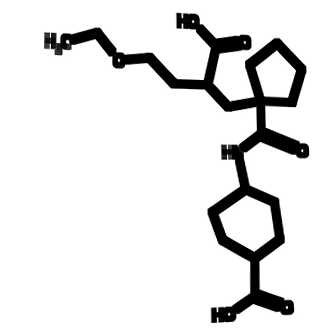 CCOCCC(CC1(C(=O)NC2CCC(C(=O)O)CC2)CCCC1)C(=O)O